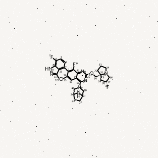 Fc1c(-c2ccc(F)c3[nH]nc(I)c23)c(Cl)cc2c(N3CC4CCC(C3)N4)nc(OC[C@@]34CCCN3C[C@H](F)C4)nc12